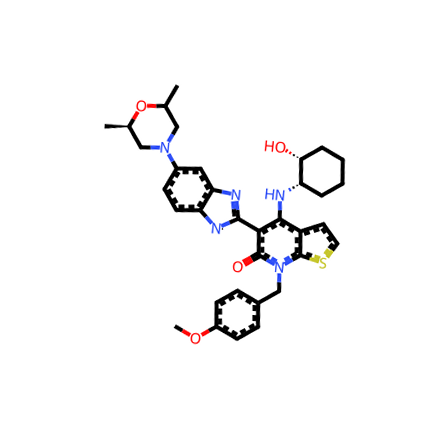 COc1ccc(Cn2c(=O)c(C3=Nc4cc(N5CC(C)O[C@H](C)C5)ccc4[N]3)c(N[C@H]3CCCC[C@H]3O)c3ccsc32)cc1